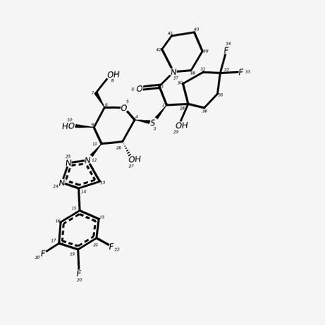 O=C([C@H](S[C@@H]1O[C@H](CO)[C@H](O)[C@H](n2cc(-c3cc(F)c(F)c(F)c3)nn2)[C@H]1O)C1(O)CCC(F)(F)CC1)N1CCCCC1